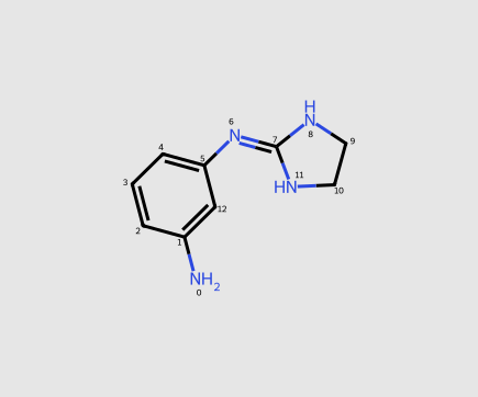 Nc1cccc(N=C2NCCN2)c1